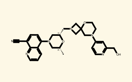 C[C@@H]1CN(c2ccc(C#N)c3ncccc23)C[C@H](CN2CC3(C2)CN(c2ccnc(CO)c2)CCO3)O1